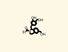 CCC(=O)N1CCc2cc(CO)ccc2C1Cc1ccc(CO)c(O)c1